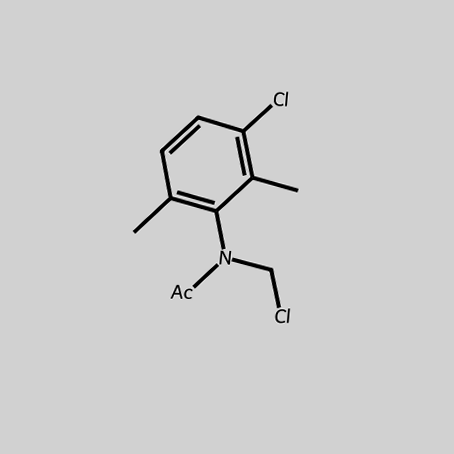 CC(=O)N(CCl)c1c(C)ccc(Cl)c1C